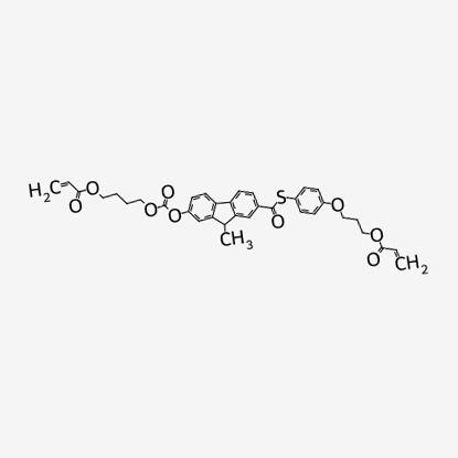 C=CC(=O)OCCCCOC(=O)Oc1ccc2c(c1)C(C)c1cc(C(=O)Sc3ccc(OCCCOC(=O)C=C)cc3)ccc1-2